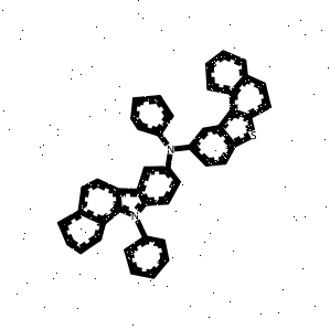 c1ccc(N(c2ccc3sc4ccc5ccccc5c4c3c2)c2ccc3c(c2)c2ccc4ccccc4c2n3-c2ccccc2)cc1